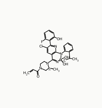 C=CC(=O)N1CCN(C2=NS(O)(O)N(c3ccccc3C(C)C)c3nc(-c4c(O)cccc4F)c(Cl)cc32)[C@@H](C)C1